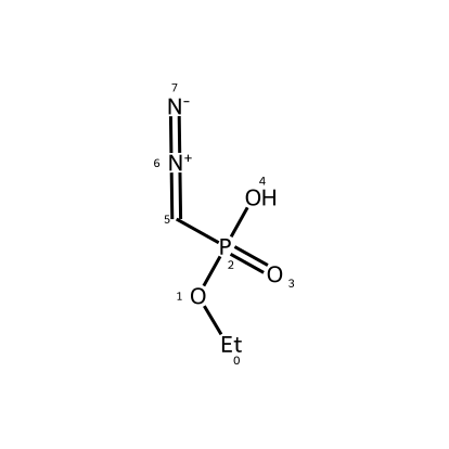 CCOP(=O)(O)C=[N+]=[N-]